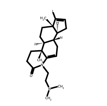 CN(C)CCN1C(=O)CC[C@@]2(C)C1=CC[C@@H]1[C@@H]2CC[C@]2(C)C(I)=CC[C@@H]12